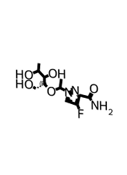 CC(O)C(O)[C@@H](CO)OC(C)n1cc(F)c(C(N)=O)n1